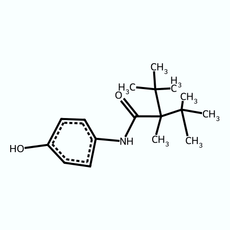 CC(C)(C)C(C)(C(=O)Nc1ccc(O)cc1)C(C)(C)C